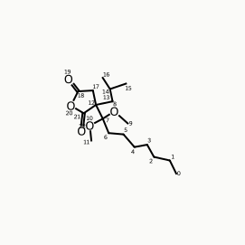 CCCCCCCC(OC)(OC)C1(CC(C)C)CC(=O)OC1=O